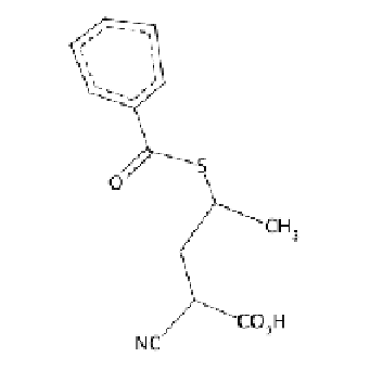 CC(CC(C#N)C(=O)O)SC(=O)c1ccccc1